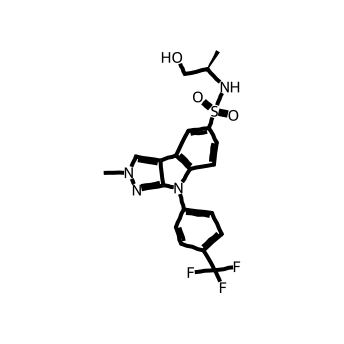 C[C@H](CO)NS(=O)(=O)c1ccc2c(c1)c1cn(C)nc1n2-c1ccc(C(F)(F)F)cc1